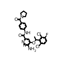 CC(Oc1cc(C(=O)Nc2ccc(C(=O)N3CCCC3)cc2)nnc1N)c1c(Cl)ccc(F)c1Cl